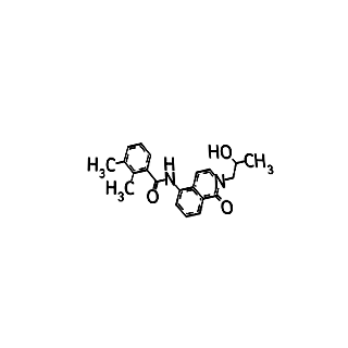 Cc1cccc(C(=O)Nc2cccc3c(=O)n(CC(C)O)ccc23)c1C